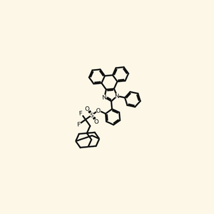 O=S(=O)(Oc1ccccc1-c1nc2c3ccccc3c3ccccc3c2n1-c1ccccc1)C(F)(F)CC12CC3CC(CC(C3)C1)C2